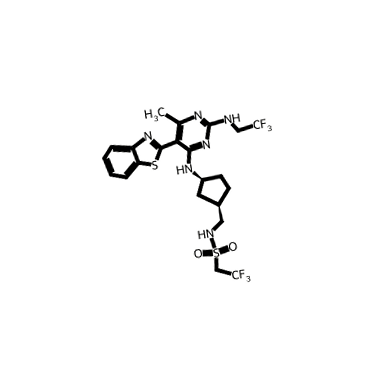 Cc1nc(NCC(F)(F)F)nc(N[C@H]2CC[C@@H](CNS(=O)(=O)CC(F)(F)F)C2)c1-c1nc2ccccc2s1